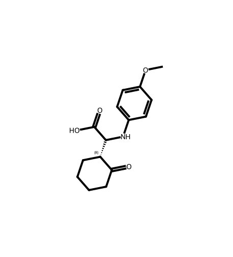 COc1ccc(NC(C(=O)O)[C@H]2CCCCC2=O)cc1